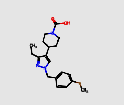 CCc1nn(Cc2ccc(SC)cc2)cc1C1CCN(C(=O)O)CC1